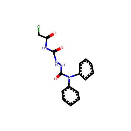 O=C(CCl)NC(=O)NNC(=O)N(c1ccccc1)c1ccccc1